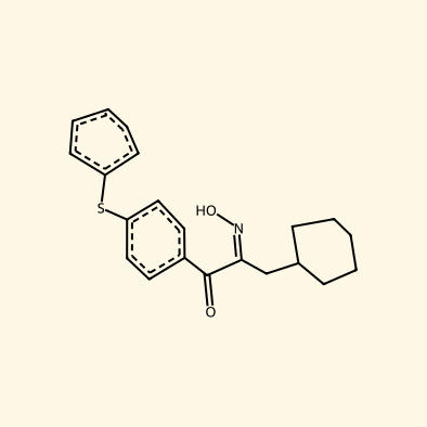 O=C(C(CC1CCCCC1)=NO)c1ccc(Sc2ccccc2)cc1